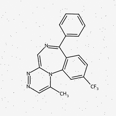 CC1=CN=NC2=CN=C(c3ccccc3)c3ccc(C(F)(F)F)cc3N12